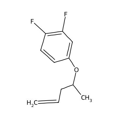 C=CCC(C)Oc1ccc(F)c(F)c1